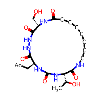 CC(=O)C[C@@H]1NC(=O)N[C@@H](C(C)O)C(=O)NCCCCCCCC(=O)N[C@@H](CO)C(=O)NNC1=O